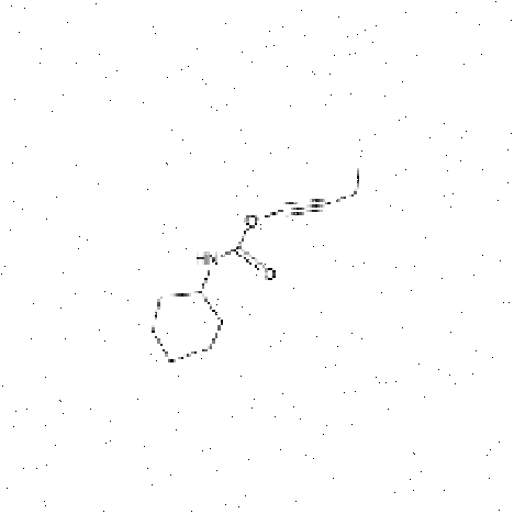 O=C(NC1CCCCC1)OC#CCI